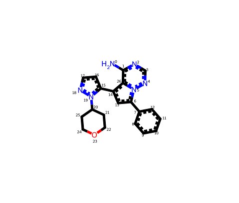 Nc1ncnn2c(-c3c[c]ccc3)cc(-c3ccnn3C3CCOCC3)c12